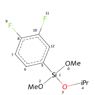 CO[Si](OC)(OC(C)C)c1ccc(F)c(F)c1